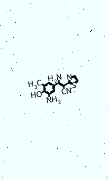 Cc1cc(/C(N)=C(\C#N)c2nccs2)cc(N)c1O